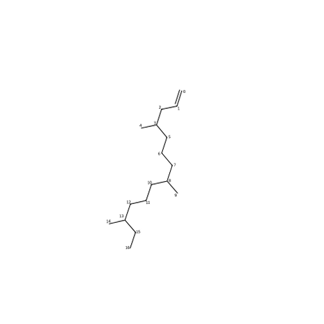 C=CCC(C)CCCC(C)CCCC(C)CC